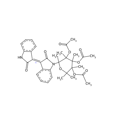 CC(=O)OC1(C)C(C)(C)OC(C)(N2C(=O)/C(=C3/C(=O)Nc4ccccc43)c3ccccc32)C(C)(OC(C)=O)C1(C)OC(C)=O